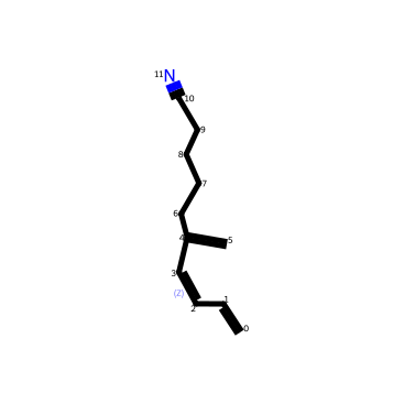 C=C/C=C\C(=C)CCCCC#N